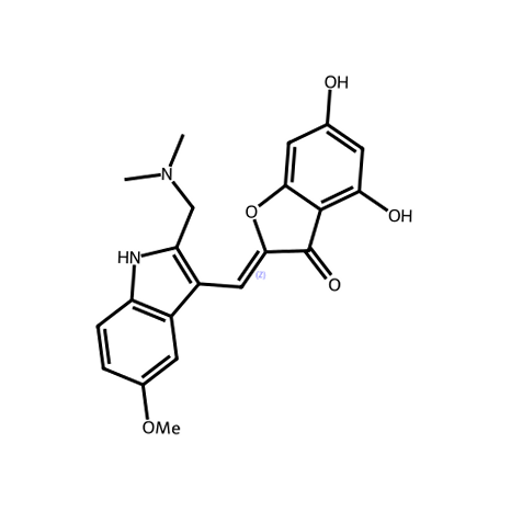 COc1ccc2[nH]c(CN(C)C)c(/C=C3\Oc4cc(O)cc(O)c4C3=O)c2c1